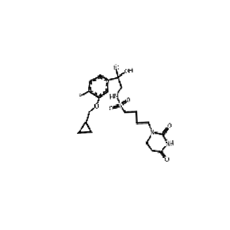 CCC(O)(CNS(=O)(=O)CCCCN1CCC(=O)NC1=O)c1ccc(F)c(OCC2CC2)c1